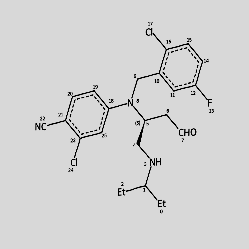 CCC(CC)NC[C@H](CC=O)N(Cc1cc(F)ccc1Cl)c1ccc(C#N)c(Cl)c1